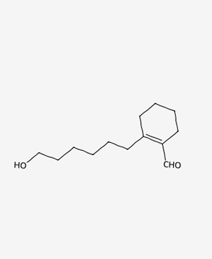 O=CC1=C(CCCCCCO)CCCC1